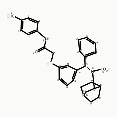 O=Cc1ccc(NC(=O)COc2cccc([C@H](c3ccccc3)N(C(=O)O)C3CN4CCC3CC4)c2)cc1